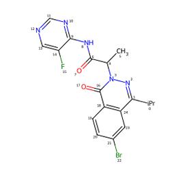 CC(C)c1nn(C(C)C(=O)Nc2ncncc2F)c(=O)c2ccc(Br)cc12